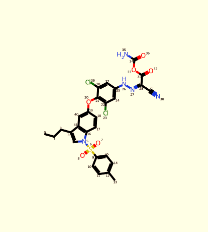 CCCc1cn(S(=O)(=O)c2ccc(C)cc2)c2ccc(Oc3c(Cl)cc(NN=C(C#N)C(=O)OC(N)=O)cc3Cl)cc12